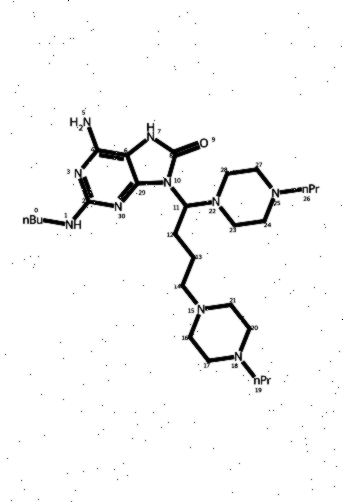 CCCCNc1nc(N)c2[nH]c(=O)n(C(CCCN3CCN(CCC)CC3)N3CCN(CCC)CC3)c2n1